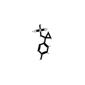 Cc1ccc(C2(CS(C)(=O)=O)CC2)cc1